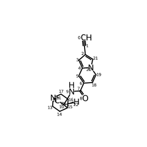 C#Cc1cc2cc(C(=O)N[C@H]3CN4CCC3CC4)ccn2c1